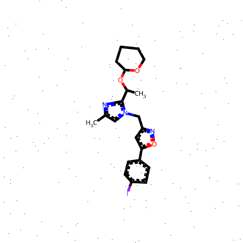 Cc1cn(Cc2cc(-c3ccc(I)cc3)on2)c(C(C)OC2CCCCO2)n1